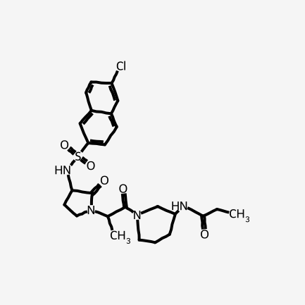 CCC(=O)NC1CCCN(C(=O)C(C)N2CCC(NS(=O)(=O)c3ccc4cc(Cl)ccc4c3)C2=O)C1